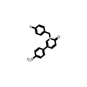 O=c1ccc(-c2ccc([N+](=O)[O-])cc2)cn1Cc1ccc(F)cc1